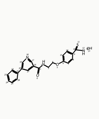 O=C(NCCOc1ccc(C(=S)NO)cc1)c1cncc(-c2ccccc2)c1